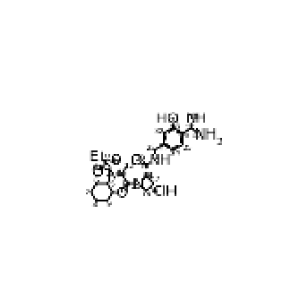 CCS(=O)(=O)N(C1CCCCC1)[C@@H](C)C(=O)N1CC[C@H]1C(=O)NCc1ccc(C(=N)N)c(O)c1.Cl